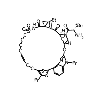 CC[C@@H]1C[C@@]12NC(=O)[C@@H]1C[C@H](CN1C(=O)[C@@H](N)C(C)(C)C)Oc1nc3c(cccc3n1C(C)C)-c1nc(C(C)C)c(s1)CC/C=C\CCCCS(=O)(=O)NC2=O